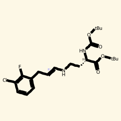 CC(C)(C)OC(=O)N[C@@H](CCN/C=C/Cc1cccc(Cl)c1F)C(=O)OC(C)(C)C